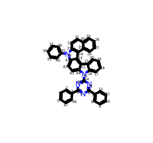 c1ccc(-c2nc(-c3ccccc3)nc(-n3c4ccccc4c4c5c6c7ccccc7ccc6n(-c6ccccc6)c5ccc43)n2)cc1